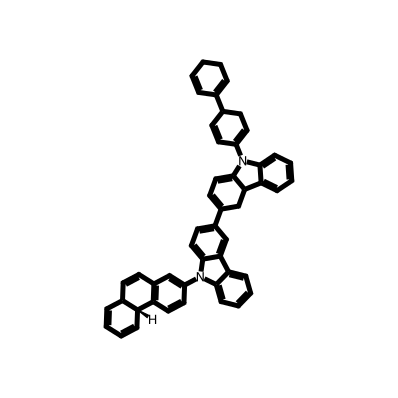 C1=CC2C=Cc3cc(-n4c5ccccc5c5cc(C6=CC=C7C(C6)c6ccccc6N7C6=CCC(C7=CCCC=C7)C=C6)ccc54)ccc3[C@@H]2C=C1